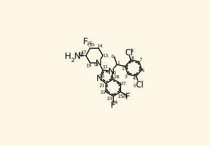 CC(c1cc(Cl)ccc1Cl)n1c(N2CC[C@@H](F)[C@H](N)C2)nc2cc(F)c(F)cc21